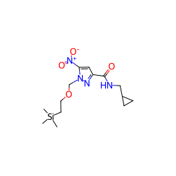 C[Si](C)(C)CCOCn1nc(C(=O)NCC2CC2)cc1[N+](=O)[O-]